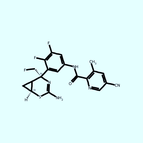 Cc1cc(C#N)cnc1C(=O)Nc1cc(F)c(F)c([C@@]2(CF)N=C(N)S[C@H]3CC32)c1